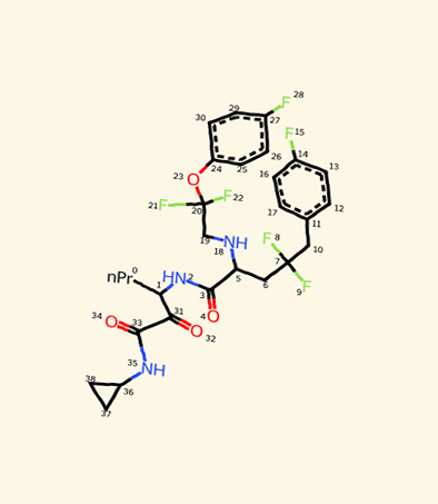 CCCC(NC(=O)C(CC(F)(F)Cc1ccc(F)cc1)NCC(F)(F)Oc1ccc(F)cc1)C(=O)C(=O)NC1CC1